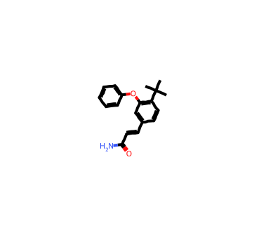 CC(C)(C)c1ccc(C=CC(N)=O)cc1Oc1ccccc1